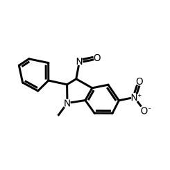 CN1c2ccc([N+](=O)[O-])cc2C(N=O)C1c1ccccc1